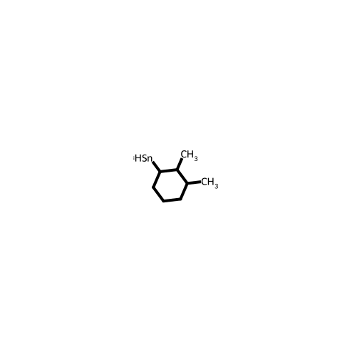 CC1CCC[CH]([SnH])C1C